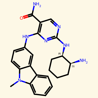 Cn1c2ccccc2c2cc(Nc3nc(N[C@@H]4CCCC[C@@H]4N)ncc3C(N)=O)ccc21